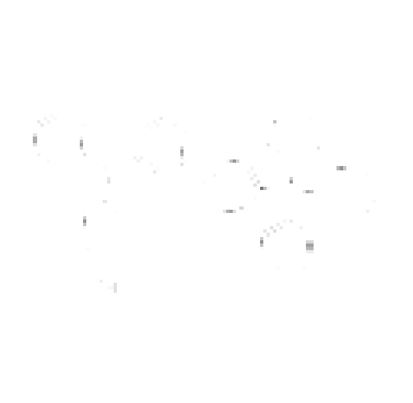 Cc1ccc([S+](c2ccccc2)c2ccccc2)cc1.c1cc[c]([Ga-]([c]2ccccc2)([c]2ccccc2)[c]2ccccc2)cc1